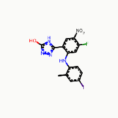 Cc1cc(I)ccc1Nc1cc(F)c([N+](=O)[O-])cc1-c1nnc(O)[nH]1